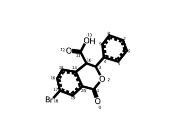 O=C1OC(c2ccccc2)C(C(=O)O)c2ccc(Br)cc21